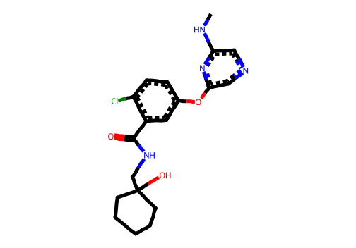 CNc1cncc(Oc2ccc(Cl)c(C(=O)NCC3(O)CCCCC3)c2)n1